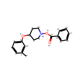 Cc1cccc(OC2CCN(OC(=O)c3ccccc3)CC2)c1